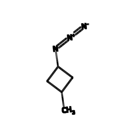 CC1CC(N=[N+]=[N-])C1